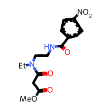 CCN(CCNC(=O)c1ccc([N+](=O)[O-])cc1)C(=O)CC(=O)OC